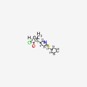 CC1(C)[C@@H](C(=O)Cl)[C@@H]1c1ccc(SCc2ccccc2)nc1